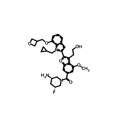 COc1cc(C(=O)N2C[C@H](N)C[C@@H](F)C2)cc2oc(-c3cc4cccc(OCC5COC5)c4n3CC3CC3)c(CCO)c12